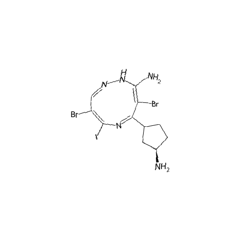 Nc1[nH]ncc(Br)c(I)nc(C2CC[C@@H](N)C2)c1Br